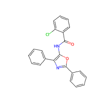 O=C(Nc1oc(-c2ccccc2)nc1-c1ccccc1)c1ccccc1Cl